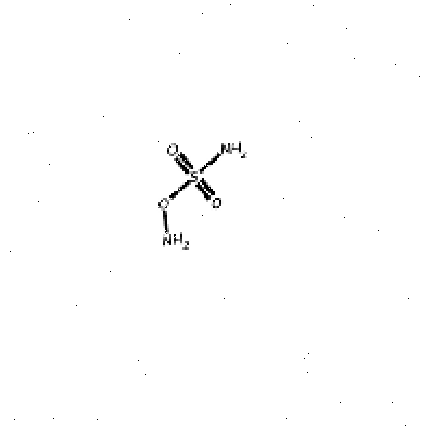 NOS(N)(=O)=O